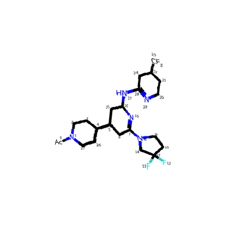 CC(=O)N1CCC(C2CC(N3CCC(F)(F)C3)=NC(NC3=NCCC(C(F)(F)F)C3)C2)CC1